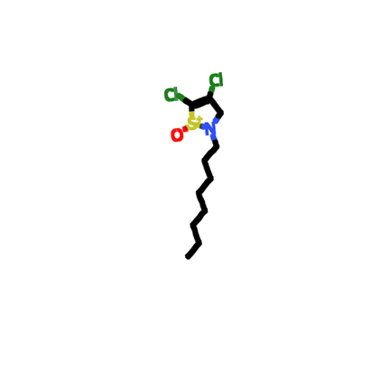 CCCCCCCCN1CC(Cl)=C(Cl)[S+]1[O-]